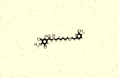 Cc1cccc(CCOCCCCCCNCC(O)c2cc(Cl)c(N)c(Cl)c2)n1